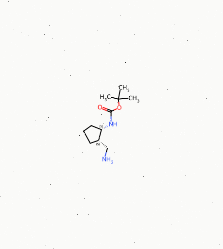 CC(C)(C)OC(=O)N[C@H]1CCC[C@H]1CN